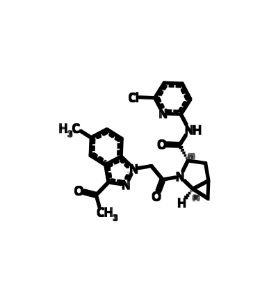 CC(=O)c1nn(CC(=O)N2[C@@H]3CC3C[C@H]2C(=O)Nc2cccc(Cl)n2)c2ccc(C)cc12